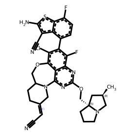 C[C@H]1CN2CCC[C@@]2(COc2nc3c4c(c(Cl)c(-c5ccc(F)c6sc(N)c(C#N)c56)c(F)c4n2)OCC2CC/C(=C\C#N)CN32)C1